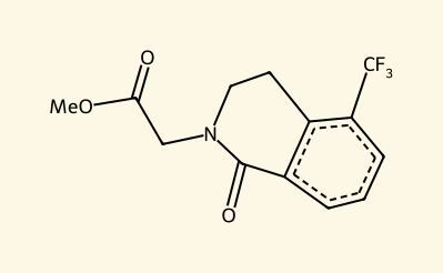 COC(=O)CN1CCc2c(cccc2C(F)(F)F)C1=O